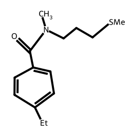 CCc1ccc(C(=O)N(C)CCCSC)cc1